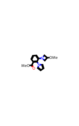 COC(=O)c1cccc(N2CC(OC)C2)c1-n1cccc1